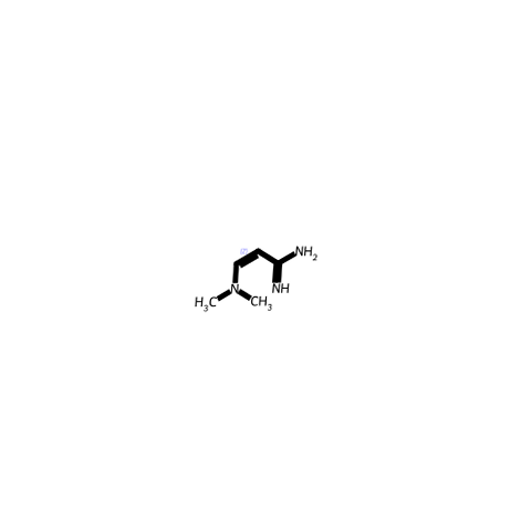 CN(C)/C=C\C(=N)N